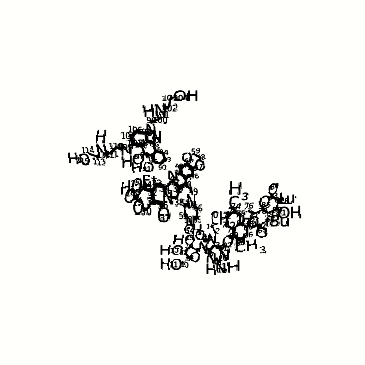 C=CCn1c(=O)n([C@@H]2O[C@H](CO)[C@@H](O)[C@H]2O)c2[nH]c(=N)nc(O)c21.CC[C@@]1(O)C(=O)OCc2c1cc1n(c2=O)Cc2c-1nc1cc3c(cc1c2CN1CCN(C)CC1)OCCO3.CC[C@H](C)C(=O)O[C@H]1C[C@@H](C)C=C2C=C[C@H](C)[C@H](CC[C@@H]3C[C@@H](O)CC(=O)O3)[C@H]21.O=C1c2c(O)cccc2-c2nn(CCNCCO)c3ccc(NCCNCCO)c1c23.[Lu]